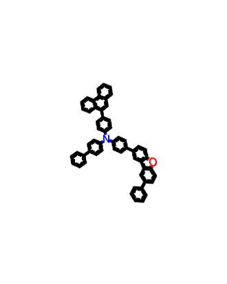 c1ccc(-c2ccc(N(c3ccc(-c4ccc5oc6ccc(-c7ccccc7)cc6c5c4)cc3)c3ccc(-c4cc5ccccc5c5ccccc45)cc3)cc2)cc1